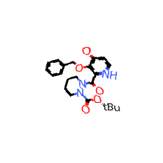 CC(C)(C)OC(=O)N1CCCCN1C(=O)c1[nH]ccc(=O)c1OCc1ccccc1